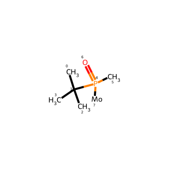 CC(C)(C)[P](C)(=O)[Mo]